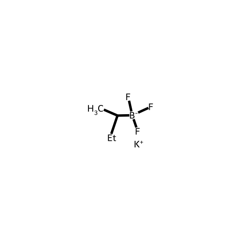 CCC(C)[B-](F)(F)F.[K+]